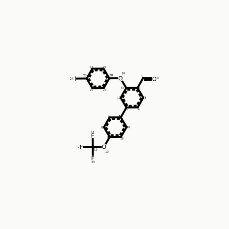 O=Cc1ccc(-c2ccc(OC(F)(F)F)cc2)cc1Oc1ccc(I)cc1